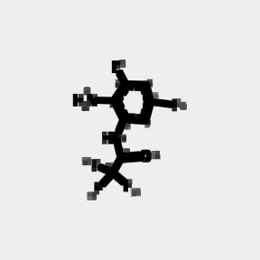 Nc1c(F)cc(F)cc1NC(=O)C(F)(F)F